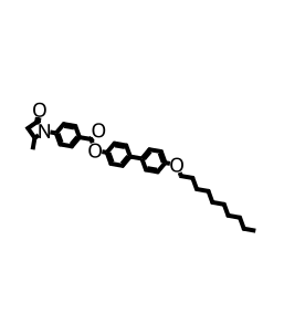 CCCCCCCCCCOc1ccc(-c2ccc(OC(=O)c3ccc(N4C(=O)CC4C)cc3)cc2)cc1